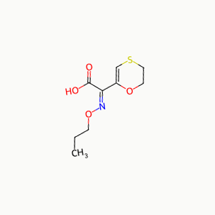 CCCON=C(C(=O)O)C1=CSCCO1